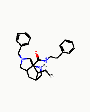 CC(=O)N1CC2CC3CN(Cc4ccccc4)C(C2CC(C)C)C31C(=O)NCCc1ccccc1